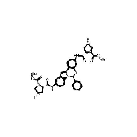 CC(C)(C)OC(=O)N1C[C@H](F)C[C@H]1C(=O)Nc1ccc2c(c1)OC(c1ccccc1)n1c-2cc2cc(NC(=O)[C@@H]3C[C@H](F)CN3C(=O)OC(C)(C)C)ccc21